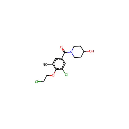 N#Cc1cc(C(=O)N2CCC(O)CC2)cc(Cl)c1OCCCl